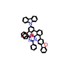 c1ccc(-c2nc(-c3ccccc3)nc(-c3c(-c4ccc5c(c4)oc4ccccc45)cccc3-c3cc(-n4c5ccccc5c5ccccc54)cc4c3oc3ccccc34)n2)cc1